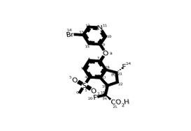 CS(=O)(=O)c1ccc(Oc2cncc(Br)c2)c2c1C([C@H](F)C(=O)O)C[C@H]2F